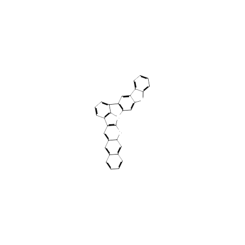 C1=C2C=c3ccccc3=CC2Nc2c1c1cccc3c4cc5c(cc4n2c13)sc1ccccc15